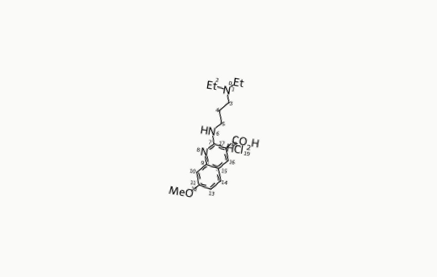 CCN(CC)CCCNc1nc2cc(OC)ccc2cc1C(=O)O.Cl